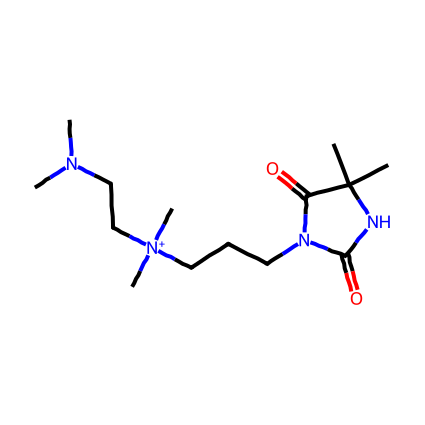 CN(C)CC[N+](C)(C)CCCN1C(=O)NC(C)(C)C1=O